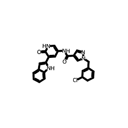 O=C(Nc1c[nH]c(=O)c(-c2cc3ccccc3[nH]2)c1)c1cnn(CC2=CC(Cl)CC=C2)c1